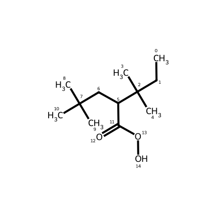 CCC(C)(C)C(CC(C)(C)C)C(=O)OO